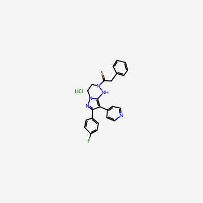 Cl.Fc1ccc(-c2nn3c(c2-c2ccncc2)NN(C(=S)Cc2ccccc2)CC3)cc1